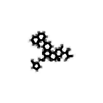 C=C(F)C(=O)N1C[C@@H]2COc3c(OC[C@@H]4CCCN4C)nc4c(c3N2C[C@H]1C)CCN(c1cccc2cccc(C)c12)C4